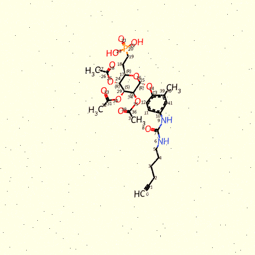 C#CCCCCNC(=O)Nc1ccc(O[C@H]2O[C@H](CCP(=O)(O)O)[C@@H](OC(C)=O)[C@H](OC(C)=O)[C@@H]2OC(C)=O)c(C)c1